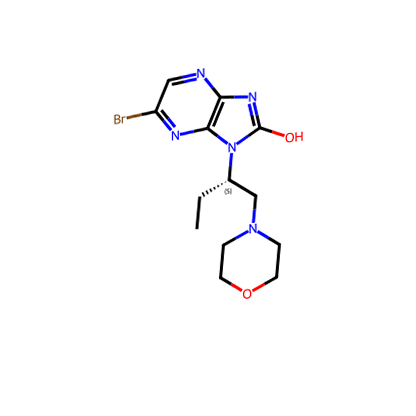 CC[C@@H](CN1CCOCC1)n1c(O)nc2ncc(Br)nc21